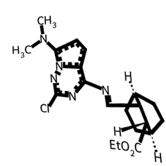 CCOC(=O)[C@@H]1C(C=Nc2nc(Cl)nn3c(N(C)C)ccc23)[C@H]2CC[C@@H]1CC2